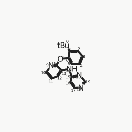 CC(C)(C)c1ccccc1Oc1ncccc1Nc1ccncn1